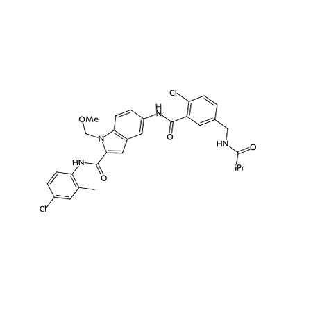 COCn1c(C(=O)Nc2ccc(Cl)cc2C)cc2cc(NC(=O)c3cc(CNC(=O)C(C)C)ccc3Cl)ccc21